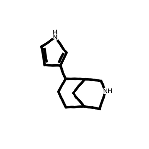 c1cc(C2CCC3CNCC2C3)c[nH]1